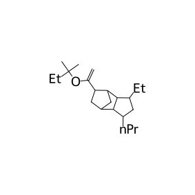 C=C(OC(C)(C)CC)C1CC2CC1C1C(CC)CC(CCC)C21